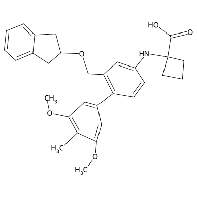 COc1cc(-c2ccc(NC3(C(=O)O)CCC3)cc2COC2Cc3ccccc3C2)cc(OC)c1C